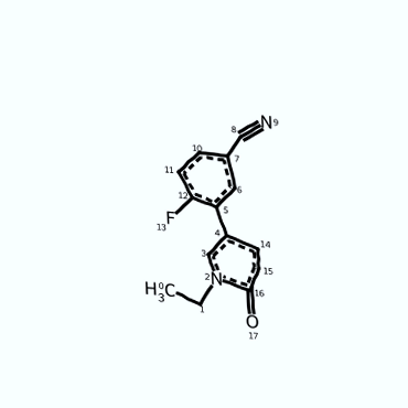 CCn1cc(-c2cc(C#N)ccc2F)ccc1=O